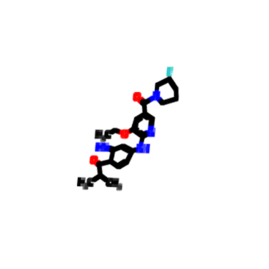 CCOc1cc(C(=O)N2CCC[C@@H](F)C2)cnc1NC1=CC(=N)C(C(=O)C(C)C)C=C1